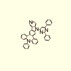 c1ccc(-c2cc(-n3c4ccncc4c4cc5c(cc43)-c3ccccc3N(c3ccccc3)c3ccccc3-5)nc(-c3ccccc3)n2)cc1